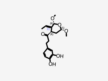 C/C=C1/[C@H](OC)O[C@H](OC)C[C@H]1C(=O)CCc1ccc(O)c(O)c1